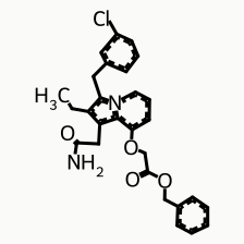 CCc1c(CC(N)=O)c2c(OCC(=O)OCc3ccccc3)cccn2c1Cc1cccc(Cl)c1